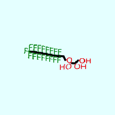 OCC(O)C(O)OCCC(F)(F)C(F)(F)C(F)(F)C(F)(F)C(F)(F)C(F)(F)C(F)(F)C(F)(F)F